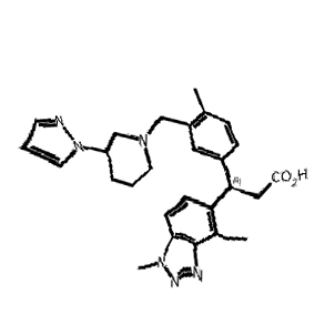 Cc1ccc([C@@H](CC(=O)O)c2ccc3c(nnn3C)c2C)cc1CN1CCCC(n2cccn2)C1